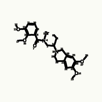 CCC(CN(Br)C(=O)c1cccc(OC)c1OC)N1CCc2cc(OC)c(OC)cc2C1